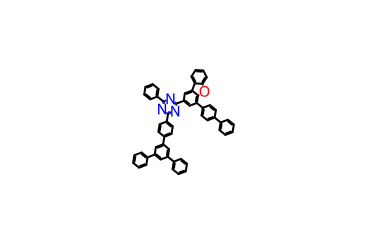 c1ccc(-c2ccc(-c3cc(-c4nc(-c5ccccc5)nc(-c5ccc(-c6cc(-c7ccccc7)cc(-c7ccccc7)c6)cc5)n4)cc4c3oc3ccccc34)cc2)cc1